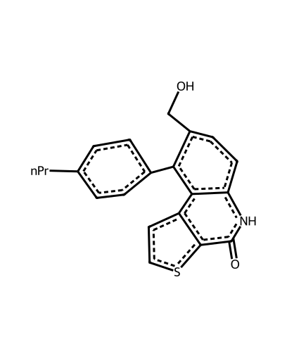 CCCc1ccc(-c2c(CO)ccc3[nH]c(=O)c4sccc4c23)cc1